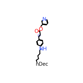 CCCCCCCCCCCCCCCNc1ccc(/C=C/C(=O)OCc2cccnc2)cc1